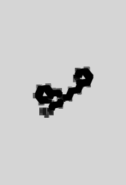 NCCN(CCCc1ccccn1)Cc1ccccn1